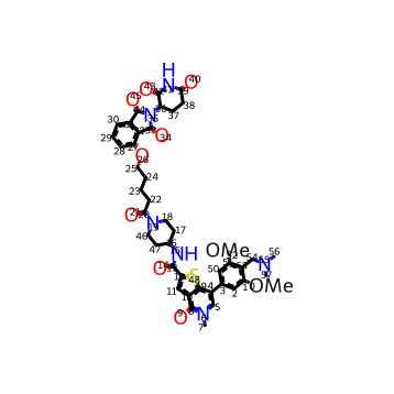 COc1cc(-c2cn(C)c(=O)c3cc(C(=O)NC4CCN(C(=O)CCCCOc5cccc6c5C(=O)N(C5CCC(=O)NC5=O)C6=O)CC4)sc23)cc(OC)c1CN(C)C